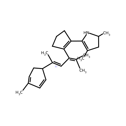 CC1=CCC(/C(C)=C/C(=C(C)C)C2=C(C3=C(C)CC(C)N3)CCC2)C=C1